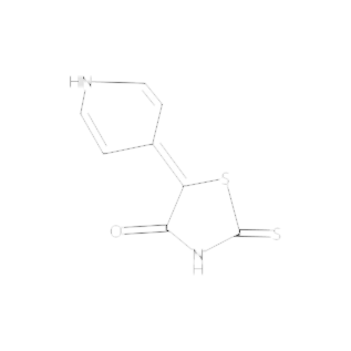 O=C1NC(=S)SC1=C1C=CNC=C1